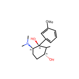 COc1cccc([C@]2(O)C(C)[C@H](O)CC[C@H]2N(C)C)c1